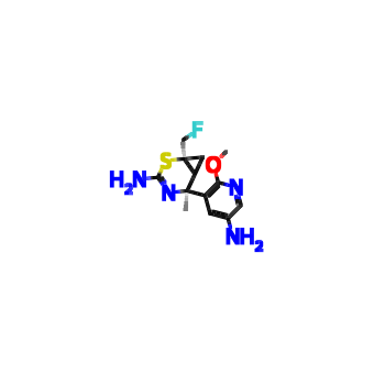 COc1ncc(N)cc1[C@@]1(C)N=C(N)S[C@@]2(CF)CC21